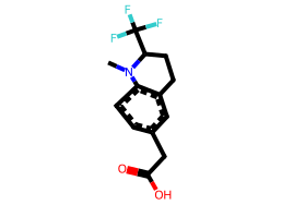 CN1c2ccc(CC(=O)O)cc2CCC1C(F)(F)F